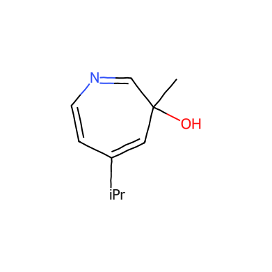 CC(C)C1=CC(C)(O)C=NC=C1